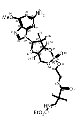 CCOC(=O)NCC(C)(C)C(=O)SCCO[P@@]1(=O)OC[C@H]2O[C@@H](n3cnc4c(OC)nc(N)nc43)[C@](C)(F)[C@@H]2O1